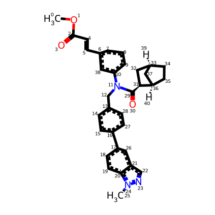 COC(=O)/C=C/c1cccc(N(Cc2ccc(-c3ccc4c(cnn4C)c3)cc2)C(=O)[C@H]2C[C@H]3CC[C@@H]2C3)c1